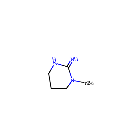 CCCCN1CCCNC1=N